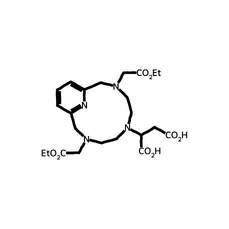 CCOC(=O)CN1CCN(C(CC(=O)O)C(=O)O)CCN(CC(=O)OCC)Cc2cccc(n2)C1